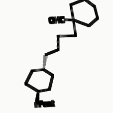 CCCCC[C@H]1CC[C@H](CCCCC2(C=O)CCCCC2)CC1